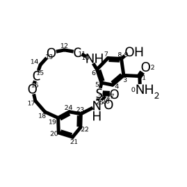 NC(=O)c1cc2c(cc1O)NCCOCCOCCc1cccc(c1)NS2(=O)=O